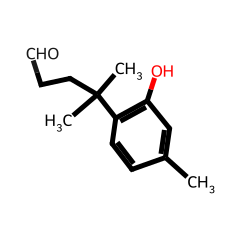 Cc1ccc(C(C)(C)CCC=O)c(O)c1